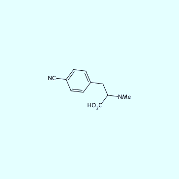 CNC(Cc1ccc(C#N)cc1)C(=O)O